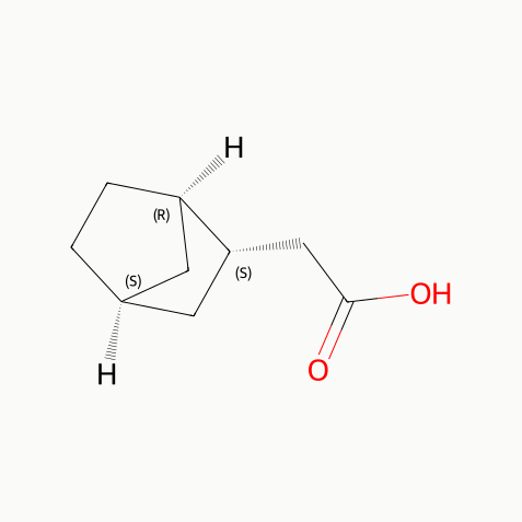 O=C(O)C[C@@H]1C[C@H]2CC[C@@H]1C2